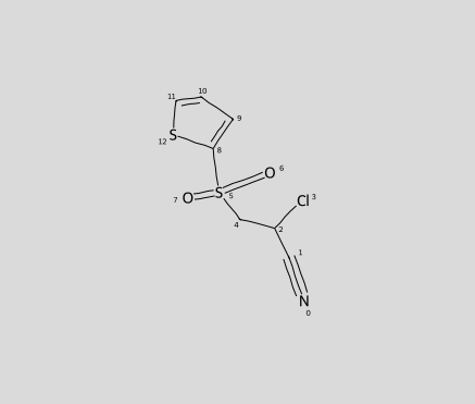 N#CC(Cl)CS(=O)(=O)c1cccs1